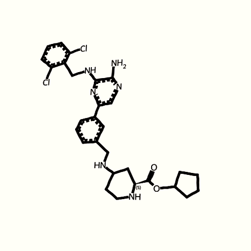 Nc1ncc(-c2cccc(CNC3CCN[C@H](C(=O)OC4CCCC4)C3)c2)nc1NCc1c(Cl)cccc1Cl